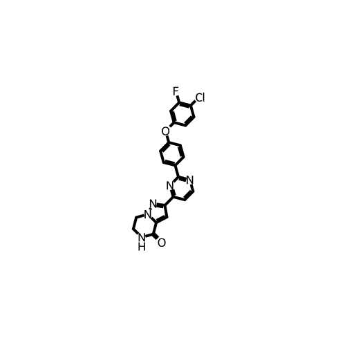 O=C1NCCn2nc(-c3ccnc(-c4ccc(Oc5ccc(Cl)c(F)c5)cc4)n3)cc21